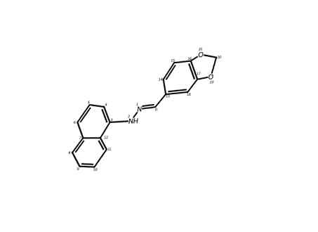 C(=NNc1cccc2ccccc12)c1ccc2c(c1)OCO2